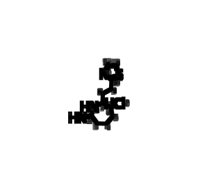 Cl.N=C1CCCCC(CCc2nccs2)N1